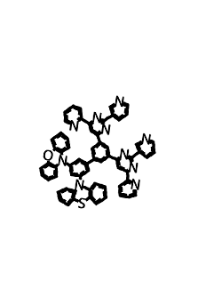 c1ccc(-c2cc(-c3cc(-c4cc(N5c6ccccc6Oc6ccccc65)cc(N5c6ccccc6Sc6ccccc65)c4)cc(-c4cc(-c5ccccn5)nc(-c5cccnc5)n4)c3)nc(-c3cccnc3)n2)nc1